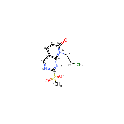 CS(=O)(=O)c1ncc2ccc(=O)n(CCCl)c2n1